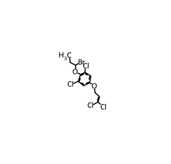 CCC(Br)Oc1c(Cl)cc(OCC=C(Cl)Cl)cc1Cl